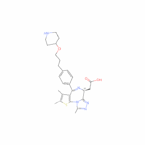 Cc1sc2c(c1C)C(c1ccc(CCCOC3CCNCC3)cc1)=N[C@@H](CC(=O)O)c1nnc(C)n1-2